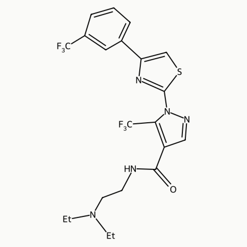 CCN(CC)CCNC(=O)c1cnn(-c2nc(-c3cccc(C(F)(F)F)c3)cs2)c1C(F)(F)F